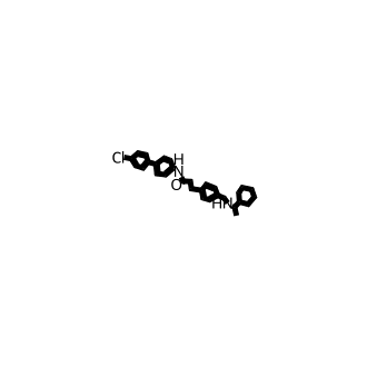 CC(NCc1ccc(CCC(=O)Nc2ccc(-c3ccc(Cl)cc3)cc2)cc1)C1CCCCC1